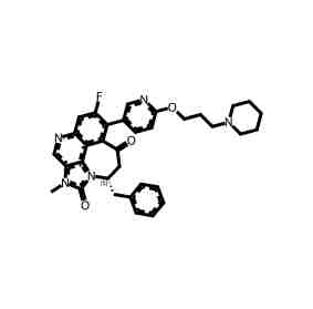 Cn1c(=O)n2c3c4c(c(-c5ccc(OCCCN6CCCCC6)nc5)c(F)cc4ncc31)C(=O)C[C@@H]2Cc1ccccc1